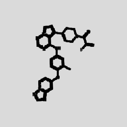 C=C(F)C(=O)N1CC=C(c2ccn3ncnc(Nc4ccc(Oc5ccn6ncnc6c5)c(C)c4)c23)CC1